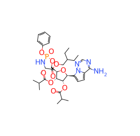 CCC(CC)COC(=O)[C@H](C)N[P@](=O)(OC[C@H]1O[C@@H](c2ccc3c(N)ncnn23)[C@H](OC(=O)C(C)C)[C@@H]1OC(=O)C(C)C)Oc1ccccc1